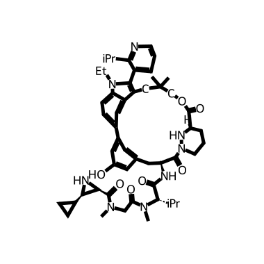 CCn1c(-c2cccnc2C(C)C)c2c3cc(ccc31)-c1cc(O)cc(c1)C[C@H](NC(=O)[C@H](C(C)C)N(C)C(=O)CN(C)C(=O)[C@@H]1N[C@@H]1C1CC1)C(=O)N1CCC[C@H](N1)C(=O)OCC(C)(C)C2